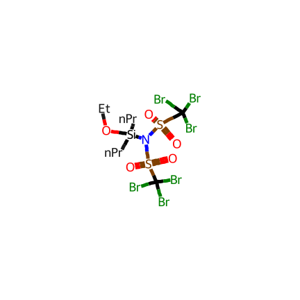 CCC[Si](CCC)(OCC)N(S(=O)(=O)C(Br)(Br)Br)S(=O)(=O)C(Br)(Br)Br